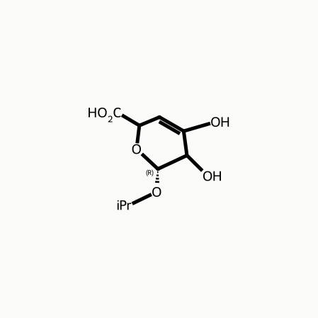 CC(C)O[C@@H]1OC(C(=O)O)C=C(O)C1O